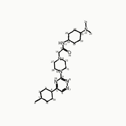 CC1CCC(c2cnnc(N3CCN(CC(=O)NC4CCC(N(C)C)CC4)CC3)n2)CC1